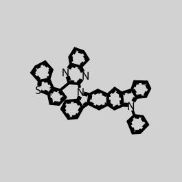 c1ccc(-n2c3ccccc3c3cc4cc5c(cc4cc32)c2ccccc2n5-c2nc3ccccc3nc2-c2cccc3sc4ccccc4c23)cc1